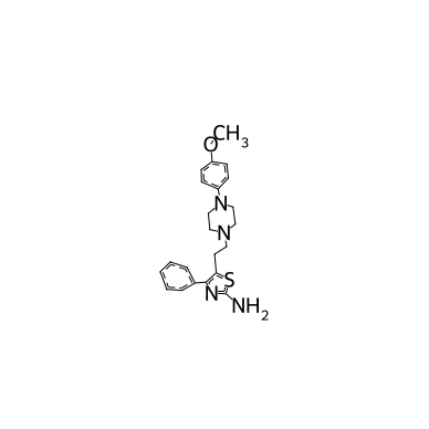 COc1ccc(N2CCN(CCc3sc(N)nc3-c3ccccc3)CC2)cc1